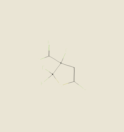 FC1CC(F)(C(F)F)C(F)(F)S1